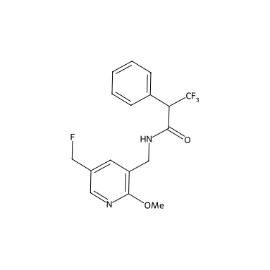 COc1ncc(CF)cc1CNC(=O)C(c1ccccc1)C(F)(F)F